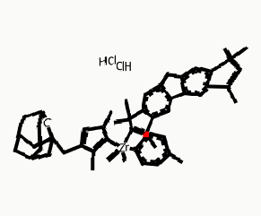 Cl.Cl.[CH2]=[Zr]([CH3])([C]1=C(C)C(CC23CC4CC(CC(C4)C2)C3)=CC1C)([C]1=C(C)c2cc3c(cc2C1(C)C)Cc1cc2c(cc1-3)C(C)=CC2(C)C)[c]1ccc(C)cc1